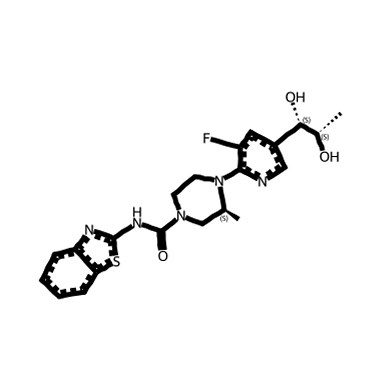 C[C@H](O)[C@@H](O)c1cnc(N2CCN(C(=O)Nc3nc4ccccc4s3)C[C@@H]2C)c(F)c1